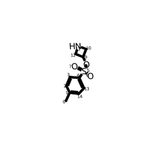 Cc1ccc(S(=O)(=O)OC2CNC2)cc1